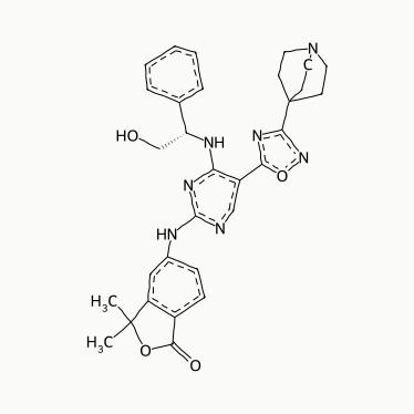 CC1(C)OC(=O)c2ccc(Nc3ncc(-c4nc(C56CCN(CC5)CC6)no4)c(N[C@H](CO)c4ccccc4)n3)cc21